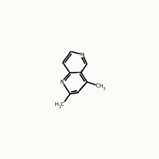 Cc1cc(C)c2cnccc2n1